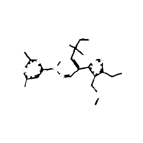 CCc1noc(C(/C=N\N(C)c2cc(C)nc(C)n2)=C\C(F)(F)CF)c1COC